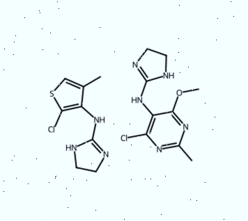 COc1nc(C)nc(Cl)c1NC1=NCCN1.Cc1csc(Cl)c1NC1=NCCN1